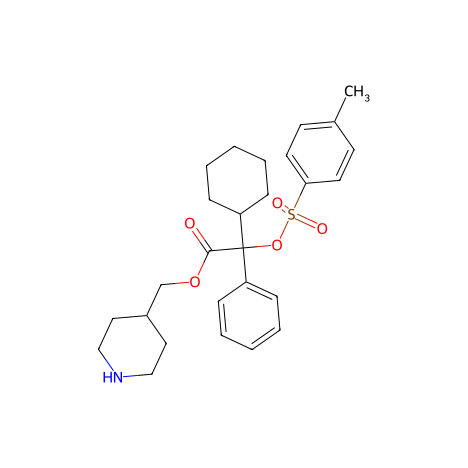 Cc1ccc(S(=O)(=O)OC(C(=O)OCC2CCNCC2)(c2ccccc2)C2CCCCC2)cc1